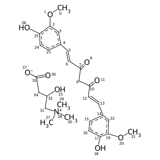 COc1cc(/C=C/C(=O)CC(=O)/C=C/c2ccc(O)c(OC)c2)ccc1O.C[N+](C)(C)CC(O)CC(=O)[O-]